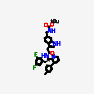 Cc1ccc(-c2cccnc2[C@H](Cc2cc(F)cc(F)c2)NC(=O)Cc2c[nH]c3cc(CNC(=O)OC(C)(C)C)ccc23)cc1